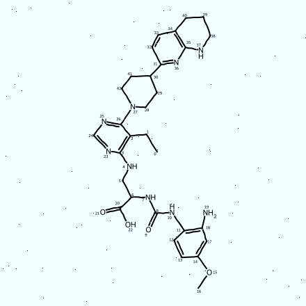 CCc1c(NCC(NC(=O)Nc2ccc(OC)cc2N)C(=O)O)ncnc1N1CCC(c2ccc3c(n2)NCCC3)CC1